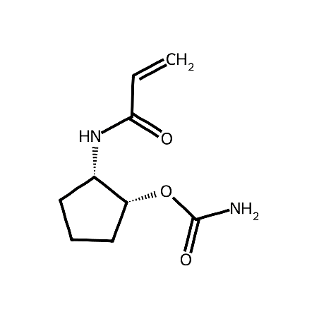 C=CC(=O)N[C@H]1CCC[C@H]1OC(N)=O